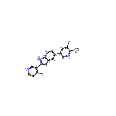 Cc1ccncc1-c1cc2cc(-c3cnc(C#N)c(C)c3)ccc2[nH]1